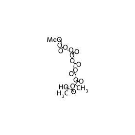 COCOC(=O)OCOC(=O)OCOC(=O)COC(=O)COC(=O)C(C)OC(=O)C(C)O